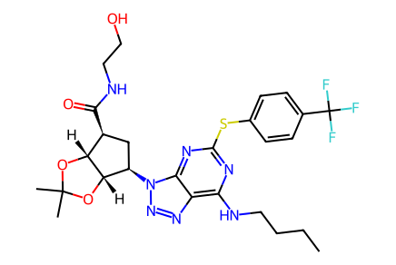 CCCCNc1nc(Sc2ccc(C(F)(F)F)cc2)nc2c1nnn2[C@@H]1C[C@H](C(=O)NCCO)[C@H]2OC(C)(C)O[C@H]21